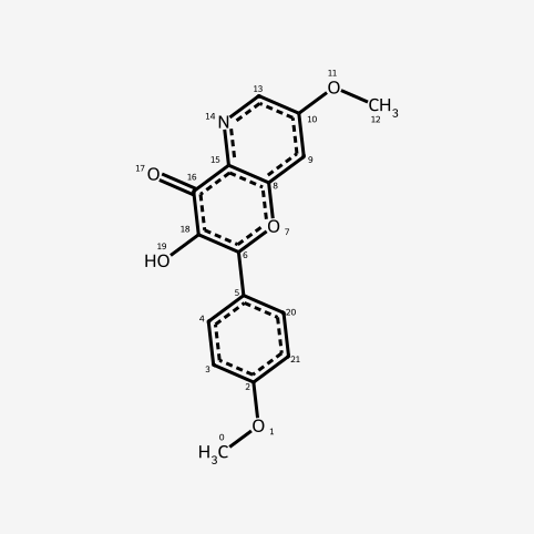 COc1ccc(-c2oc3cc(OC)cnc3c(=O)c2O)cc1